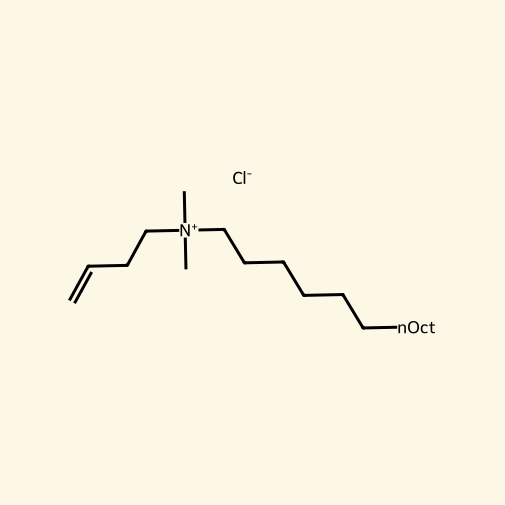 C=CCC[N+](C)(C)CCCCCCCCCCCCCC.[Cl-]